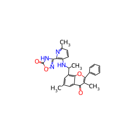 Cc1cc(C(C)Nc2ccc(C)nc2-c2noc(=O)[nH]2)c2oc(-c3ccccc3)c(C)c(=O)c2c1